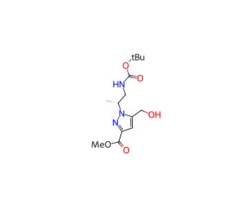 COC(=O)c1cc(CO)n([C@H](C)CNC(=O)OC(C)(C)C)n1